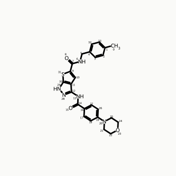 Cc1ccc(CNC(=O)c2cc3c(NC(=O)c4ccc(N5CCOCC5)cc4)n[nH]c3s2)cc1